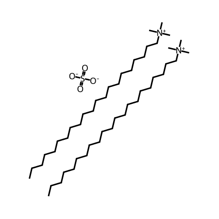 CCCCCCCCCCCCCCCCCCCCC[N+](C)(C)C.CCCCCCCCCCCCCCCCCCCCC[N+](C)(C)C.O=S(=O)([O-])[O-]